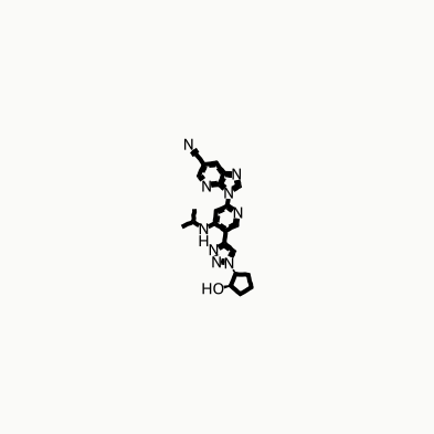 CC(C)Nc1cc(-n2cnc3cc(C#N)cnc32)ncc1-c1cn([C@@H]2CCC[C@H]2O)nn1